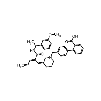 C=C/C=C(\C=C1\CCCN(Cc2ccc(-c3ccccc3C(=O)O)cc2)C1)C(=O)N[C@@H](C)c1cccc(OC)c1